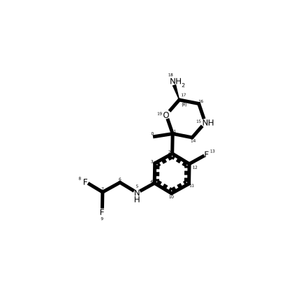 CC1(c2cc(NCC(F)F)ccc2F)CNC[C@H](N)O1